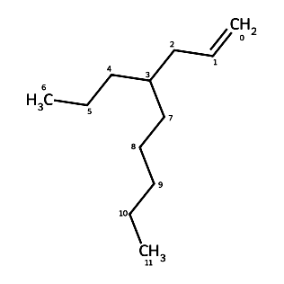 C=CCC(CCC)CCCCC